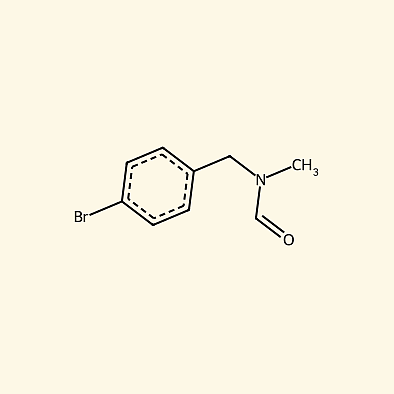 CN(C=O)Cc1ccc(Br)cc1